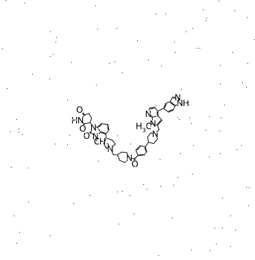 Cn1c(CN2CCC(c3ccc(C(=O)N4CCC(CN5CCC(c6cccc7c6n(C)c(=O)n7C6CCC(=O)NC6=O)CC5)CC4)cc3)CC2)cc2c(-c3ccc4[nH]ncc4c3)ccnc21